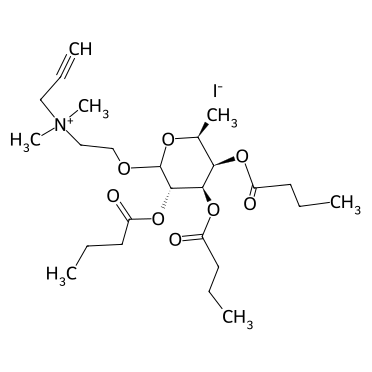 C#CC[N+](C)(C)CCOC1O[C@@H](C)[C@@H](OC(=O)CCC)[C@@H](OC(=O)CCC)[C@@H]1OC(=O)CCC.[I-]